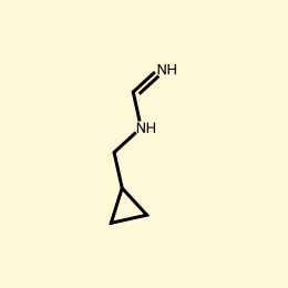 N=CNCC1CC1